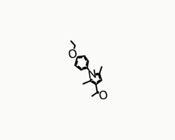 CCOc1ccc(-n2c(C)cc(C(C)=O)c2C)cc1